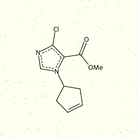 COC(=O)c1c(Cl)ncn1C1CC=CC1